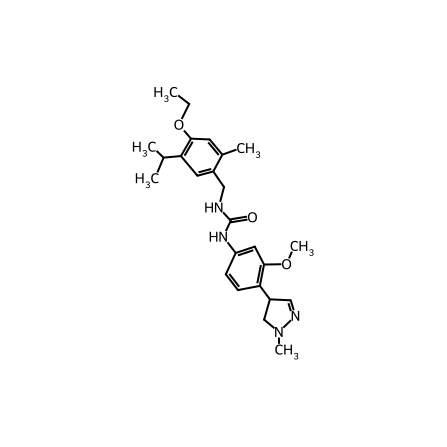 CCOc1cc(C)c(CNC(=O)Nc2ccc(C3C=NN(C)C3)c(OC)c2)cc1C(C)C